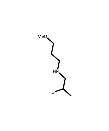 COCCCNCC(C)O